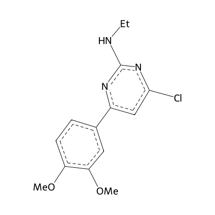 CCNc1nc(Cl)cc(-c2ccc(OC)c(OC)c2)n1